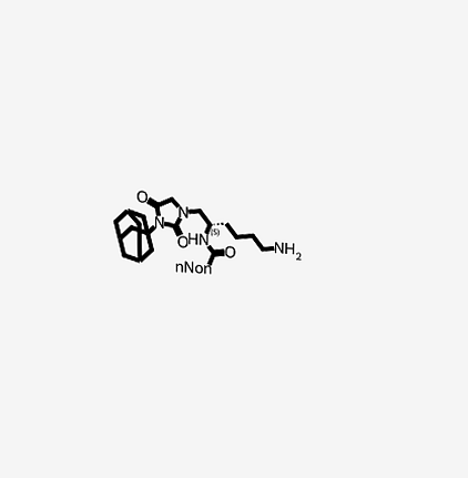 CCCCCCCCCC(=O)N[C@@H](CCCCN)CN1CC(=O)N(C23CC4CC(CC(C4)C2)C3)C1=O